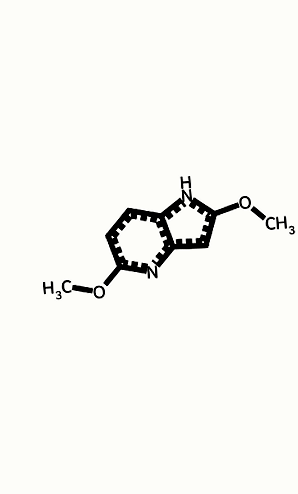 COc1ccc2[nH]c(OC)cc2n1